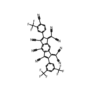 N#CC(C#N)=C1C(c2cc(C(F)(F)F)cc(C(F)(F)F)c2)=C(C#N)c2c1cc1c(c2C#N)C(C#N)=C(c2ccc(C#N)c(C(F)(F)F)c2)C1=C(C#N)C#N